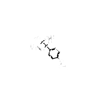 COc1ccc(C(OC)(OC)C(C)(C)O)cc1